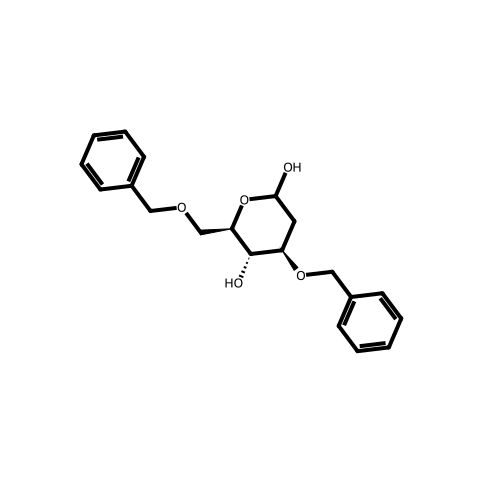 OC1C[C@@H](OCc2ccccc2)[C@H](O)[C@@H](COCc2ccccc2)O1